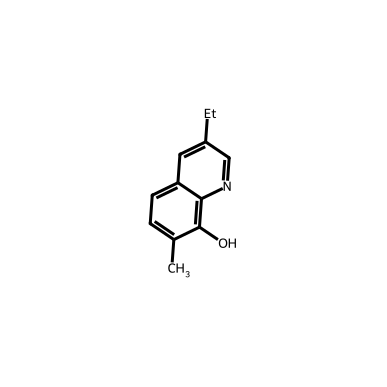 CCc1cnc2c(O)c(C)ccc2c1